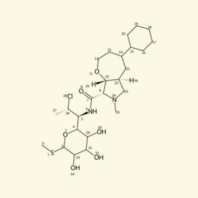 CSC1OC([C@H](NC(=O)[C@@H]2[C@@H]3OCCC(C4CCCCC4)C[C@H]3CN2C)[C@H](C)Cl)C(O)C(O)C1O